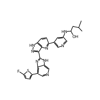 CC(C)CC(O)Nc1cncc(-c2ccc3[nH]nc(-c4nc5c(-c6ccc(F)s6)cncc5[nH]4)c3n2)c1